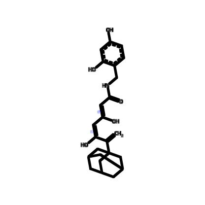 C=C(/C(O)=C\C(O)=C\C(=O)NCc1ccc(O)cc1O)C12CC3CC(CC(C3)C1)C2